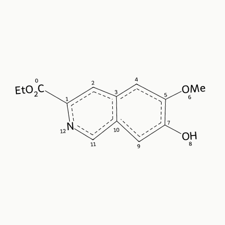 CCOC(=O)c1cc2cc(OC)c(O)cc2cn1